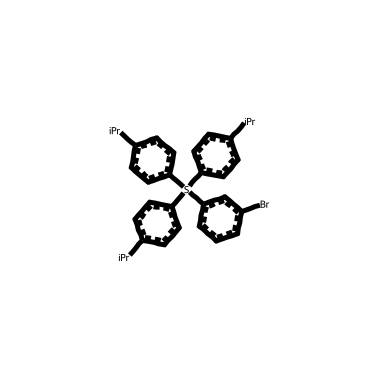 CC(C)c1ccc(S(c2ccc(C(C)C)cc2)(c2ccc(C(C)C)cc2)c2cccc(Br)c2)cc1